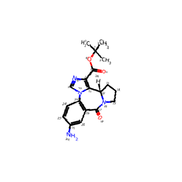 CC(C)(C)OC(=O)c1ncn2c1[C@@H]1CCCN1C(=O)c1cc(N)ccc1-2